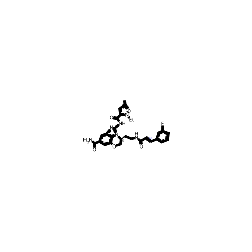 CCn1nc(C)cc1C(=O)Nc1nc2cc(C(N)=O)cc3c2n1[C@@H](CCNC(=O)/C=C/c1cccc(F)c1)CO3